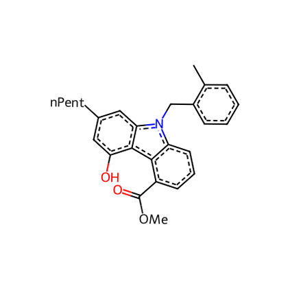 CCCCCc1cc(O)c2c3c(C(=O)OC)cccc3n(Cc3ccccc3C)c2c1